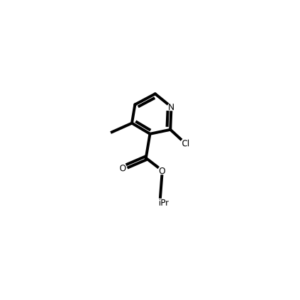 Cc1ccnc(Cl)c1C(=O)OC(C)C